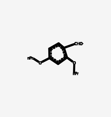 CCCOc1ccc([C]=O)c(OCCC)c1